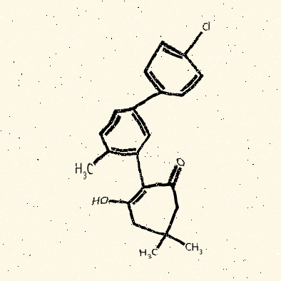 Cc1ccc(-c2ccc(Cl)cc2)cc1C1=C(O)CC(C)(C)CC1=O